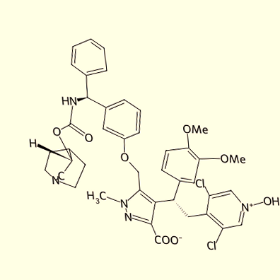 COc1ccc([C@H](Cc2c(Cl)c[n+](O)cc2Cl)c2c(C(=O)[O-])nn(C)c2COc2cccc([C@@H](NC(=O)O[C@H]3CN4CCC3CC4)c3ccccc3)c2)cc1OC